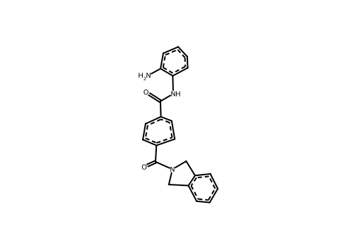 Nc1ccccc1NC(=O)c1ccc(C(=O)N2Cc3ccccc3C2)cc1